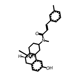 Cc1cccc(/C=C/C(=O)N(C)C2CC[C@@]3(O)[C@H]4Cc5ccc(O)cc5[C@@]3(CCN4C)C2)c1